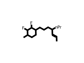 C/C=C/C(CCC)CCCC1CCC(C)C(F)C1F